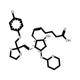 O=C(O)CCC/C=C\C[C@@H]1[C@@H](/C=C/C2(COc3ccc(Cl)cc3)OCCO2)[C@H](OC2CCCCO2)C[C@@H]1O